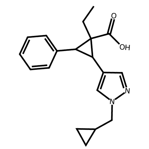 CCC1(C(=O)O)C(c2ccccc2)C1c1cnn(CC2CC2)c1